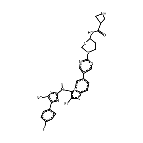 CCc1nc2ccc(-c3cnc(N4CCC(NC(=O)C5CNC5)CC4)nc3)cn2c1N(C)c1nc(-c2ccc(F)cc2)c(C#N)s1